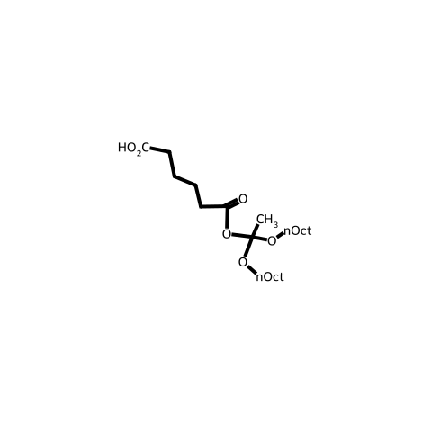 CCCCCCCCOC(C)(OCCCCCCCC)OC(=O)CCCCC(=O)O